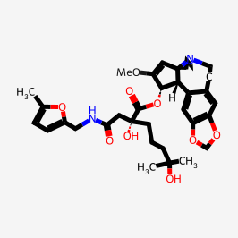 COC1=C[C@]23CCCN2CCc2cc4c(cc2[C@@H]3[C@@H]1OC(=O)[C@@](O)(CCCC(C)(C)O)CC(=O)NCc1ccc(C)o1)OCO4